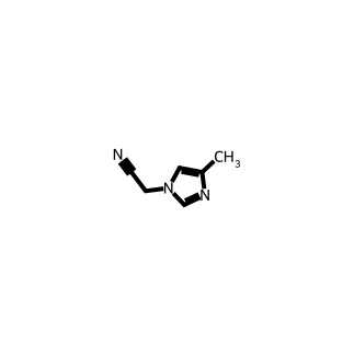 Cc1cn(CC#N)cn1